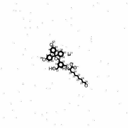 COc1ccc(C(OCc2cc(CO)cc(CNC(CCCCCCCC=O)C(=O)[O-])c2)(c2ccccc2)c2ccc(OC)cc2)cc1.[Li+]